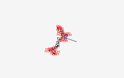 CCCCCCCCCCCC(=O)N[C@H]1C(CO)O[C@@H](OC(=O)[C@]23CCC(C)(C)CC2C2=CCC4C5(C)CC[C@H](O[C@@H]6OC[C@@H](O)[C@H](O[C@@H]7OC[C@@H](O)[C@H](O)C7O)C6O[C@@H]6OC(CO)[C@H](O)[C@H](O)C6O)[C@](C)(C=O)[C@@H]5CC[C@]4(C)[C@]2(C)CC3O)[C@H](O[C@@H]2OC(C)[C@H](O[C@@H]3OC[C@@H](O)C(O[C@@H]4OC[C@](O)(CO)C4O)[C@H]3O)C(O)[C@@H]2O)C1O[C@@H]1OC(C)[C@H](O)[C@H](O)C1O